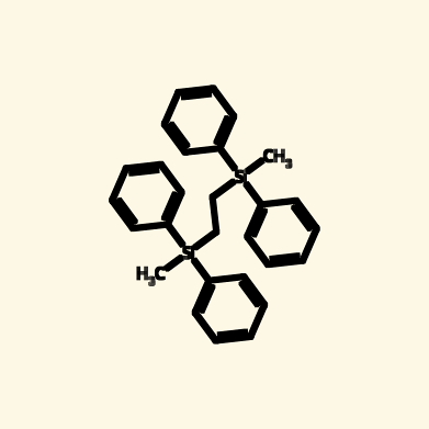 C[Si](CC[Si](C)(c1ccccc1)c1ccccc1)(c1ccccc1)c1ccccc1